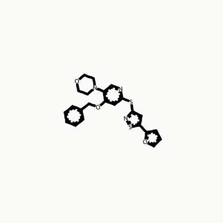 c1ccc(COc2cc(Sc3cc(-c4ccco4)sn3)ncc2N2CCOCC2)cc1